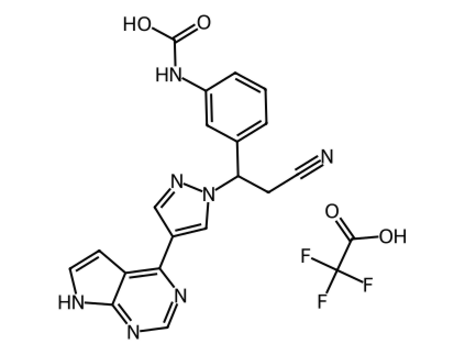 N#CCC(c1cccc(NC(=O)O)c1)n1cc(-c2ncnc3[nH]ccc23)cn1.O=C(O)C(F)(F)F